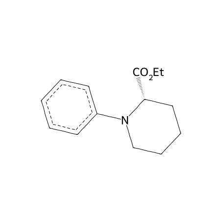 CCOC(=O)[C@@H]1CCCCN1c1ccccc1